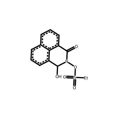 CCS(=O)(=O)ON1C(=O)c2cccc3cccc(c23)C1O